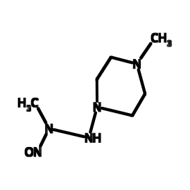 CN1CCN(NN(C)N=O)CC1